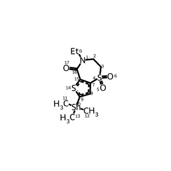 CCN1CCS(=O)(=O)c2c[c]([Sn]([CH3])([CH3])[CH3])sc2C1=O